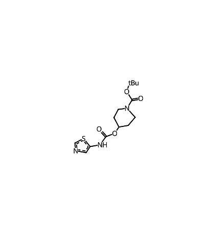 CC(C)(C)OC(=O)N1CCC(OC(=O)Nc2cncs2)CC1